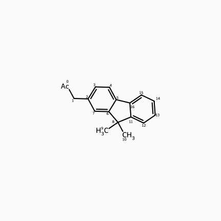 CC(=O)Cc1ccc2c(c1)C(C)(C)c1ccccc1-2